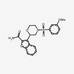 COc1cccc(S(=O)(=O)N2CCOC(c3c(C(N)=O)sc4ccccc34)C2)c1